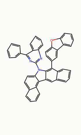 c1ccc(-c2nc(-n3c4ccc5ccccc5c4c4cc5ccccc5c(-c5ccc6oc7ccccc7c6c5)c43)nc3ccccc23)cc1